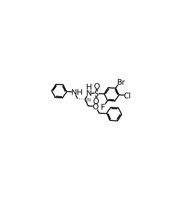 O=S(=O)(N[C@@H](CNc1ccccc1)COCc1ccccc1)c1cc(Br)c(Cl)cc1F